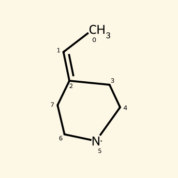 CC=C1CC[N]CC1